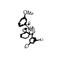 COc1cccc(S(=O)(=O)NC2(C(=O)c3cc(Cl)cc(Cl)c3)CCCCC2)c1